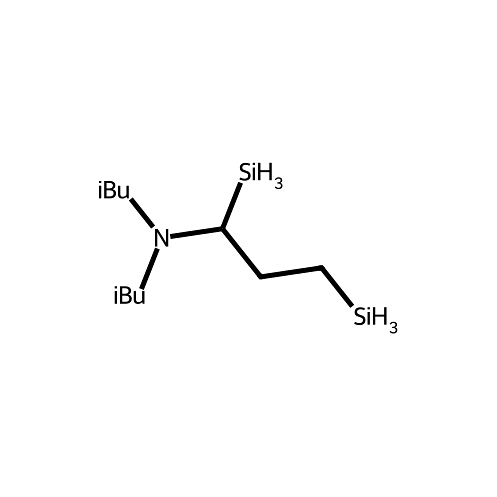 CCC(C)N(C(C)CC)C([SiH3])CC[SiH3]